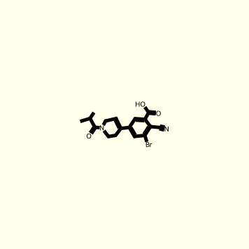 CC(C)C(=O)N1CC=C(c2cc(Br)c(C#N)c(C(=O)O)c2)CC1